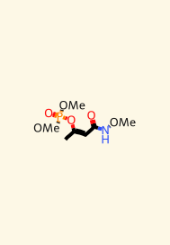 CONC(=O)C=C(C)OP(=O)(OC)OC